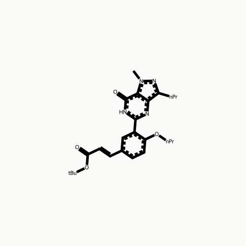 CCCOc1ccc(C=CC(=O)OC(C)(C)C)cc1-c1nc2c(CCC)nn(C)c2c(=O)[nH]1